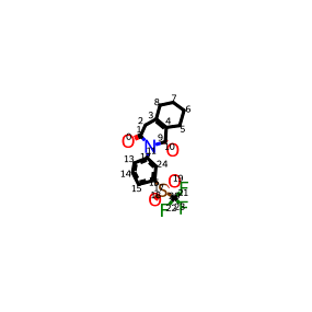 O=C1CC2=C(CCCC2)C(=O)N1c1cccc(S(=O)(=O)C(F)(F)F)c1